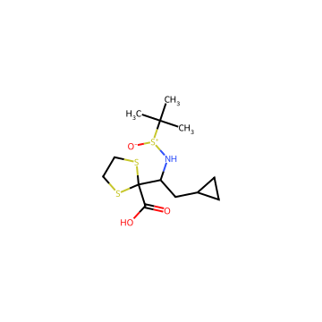 CC(C)(C)[S+]([O-])NC(CC1CC1)C1(C(=O)O)SCCS1